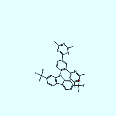 Cc1nc(C)nc(-c2ccc(-n3c4cc(C(F)(F)F)ccc4c4ccc(C(F)(F)F)cc43)c(-c3nc(C)nc(C)n3)c2)n1